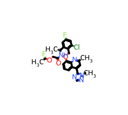 Cc1cc(-c2ncnn2C)c2cccc(OCc3c(Cl)cc(F)cc3[C@H](C)NC(=O)COC(C)F)c2n1